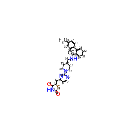 O=C1NC(=O)/C(=C/c2ccnc(N3CCC(CNCc4ccccc4-c4ccc(C(F)(F)F)cc4C(F)(F)F)CC3)n2)S1